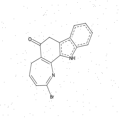 O=C1Cc2c([nH]c3ccccc23)C2=C1CC=CC(Br)=N2